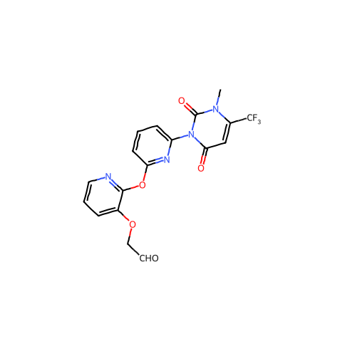 Cn1c(C(F)(F)F)cc(=O)n(-c2cccc(Oc3ncccc3OCC=O)n2)c1=O